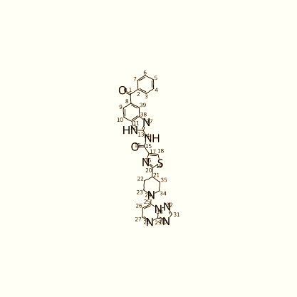 O=C(c1ccccc1)c1ccc2[nH]c(NC(=O)c3csc(C4CCN(c5ccnc6ncnn56)CC4)n3)nc2c1